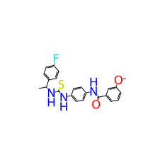 COc1cccc(C(=O)Nc2ccc(NC(=S)NC(C)c3ccc(F)cc3)cc2)c1